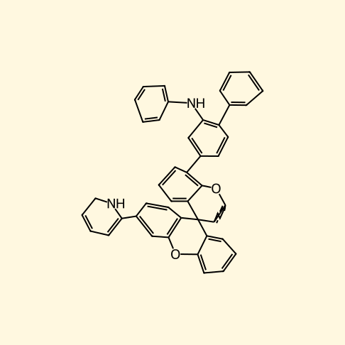 C1=CCNC(c2ccc3c(c2)Oc2ccccc2C32c3ccccc3Oc3c(-c4ccc(-c5ccccc5)c(Nc5ccccc5)c4)cccc32)=C1